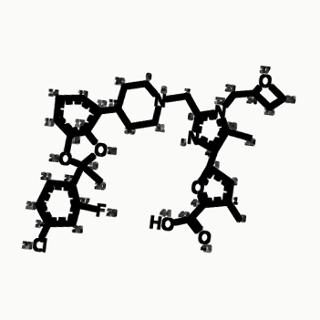 Cc1cc(-c2nc(CN3CCC(c4cccc5c4OC(C)(c4ccc(Cl)cc4F)O5)CC3)n(CC3CCO3)c2C)oc1C(=O)O